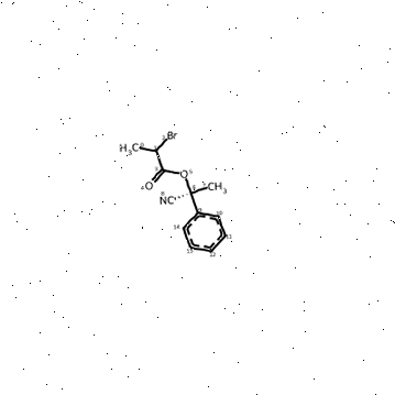 CC(Br)C(=O)O[C@](C)(C#N)c1ccccc1